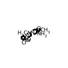 Cc1nc(N2CCC3(CC2)CO[C@@H](C)[C@H]3N)cc(=O)n1-c1cccc(Cl)c1Br